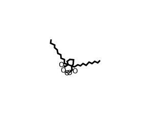 CCCCCCCCCCC12CCCCC1(CCCCCCCCCC)C(=O)OOOC2=O